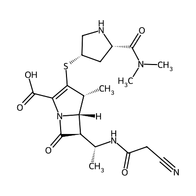 C[C@@H](NC(=O)CC#N)[C@H]1C(=O)N2C(C(=O)O)=C(S[C@@H]3CN[C@H](C(=O)N(C)C)C3)[C@H](C)[C@H]12